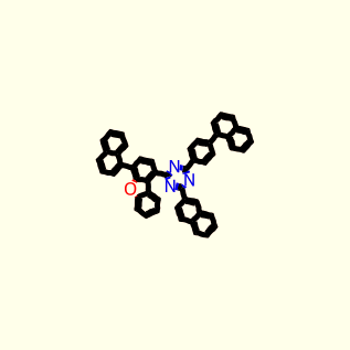 c1ccc2cc(-c3nc(-c4ccc(-c5cccc6ccccc56)cc4)nc(-c4ccc(-c5cccc6ccccc56)c5oc6ccccc6c45)n3)ccc2c1